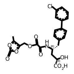 Cc1oc(=O)oc1COC(=O)C(=O)N[C@H](Cc1ccc(-c2cccc(Cl)c2)cc1)C[C@@H](O)C(=O)O